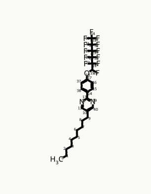 CCCCCCCCCCc1cnc(-c2ccc(OC(F)C(F)(F)C(F)(F)C(F)(F)C(F)(F)C(F)(F)F)cc2)nc1